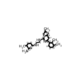 Cc1cn2c(NCCNc3ccc(C)c(N)n3)nc(-c3cccc(C)c3C)cc2n1